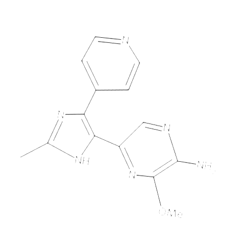 COc1nc(-c2[nH]c(C)nc2-c2ccncc2)cnc1N